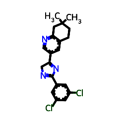 CC1(C)CCc2cc(C3=NC(c4cc(Cl)cc(Cl)c4)=NC3)cnc2C1